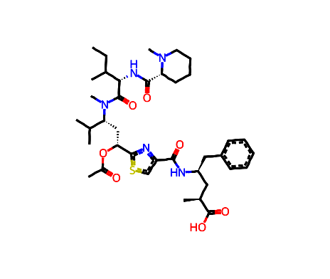 CCC(C)[C@H](NC(=O)[C@H]1CCCCN1C)C(=O)N(C)[C@H](C[C@@H](OC(C)=O)c1nc(C(=O)N[C@@H](Cc2ccccc2)C[C@H](C)C(=O)O)cs1)C(C)C